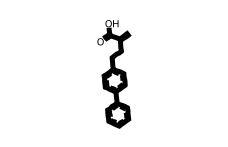 C=C(CCc1ccc(-c2ccccc2)cc1)C(=O)O